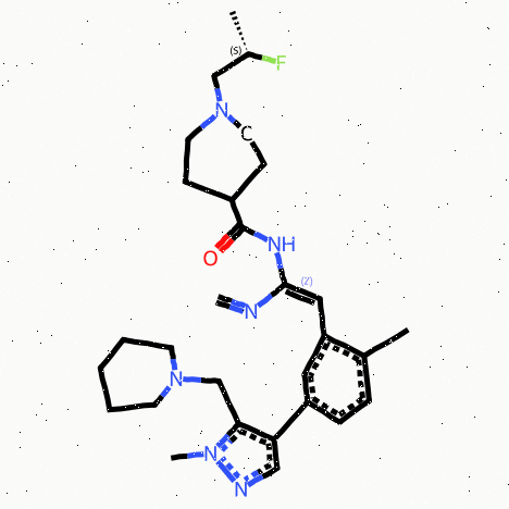 C=N/C(=C\c1cc(-c2cnn(C)c2CN2CCCCC2)ccc1C)NC(=O)C1CCN(C[C@H](C)F)CC1